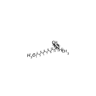 CCCCCCCCCCCCc1n(CCC)cc[n+]1CC